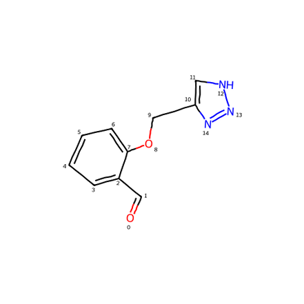 O=Cc1ccccc1OCc1c[nH]nn1